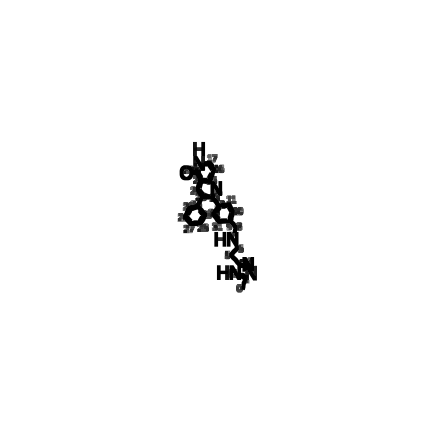 Cc1nnc(CCNCc2ccc(-c3nc4cc[nH]c(=O)c4cc3-c3ccccc3)cc2)[nH]1